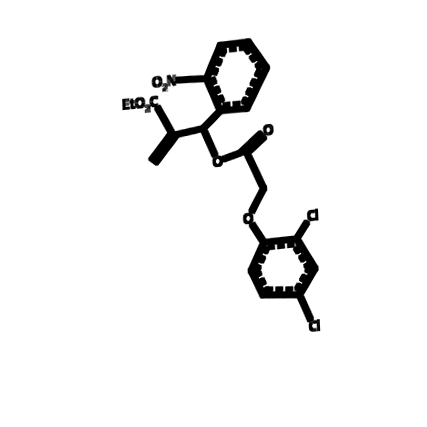 C=C(C(=O)OCC)C(OC(=O)COc1ccc(Cl)cc1Cl)c1ccccc1[N+](=O)[O-]